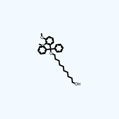 COc1cccc(C(OCCCCCCCCCCO)(c2ccccc2)c2ccccc2)c1OC